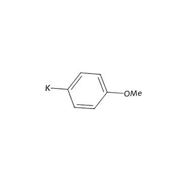 COc1cc[c]([K])cc1